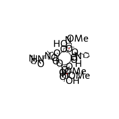 CON=C1C[C@@H](C)O[C@@H](O[C@@H]2[C@@H](C)[C@H](O[C@H]3CC(C)N(CCNC(=O)c4cccnc4)C[C@H](C)O3)[C@@H](C)C(=O)O[C@H]([C@@H](C)CO[C@@H]3O[C@H](C)[C@@H](O)[C@@H](OC)[C@H]3OC)[C@H](C)[C@@H](OC(=O)CC(C)C)[C@@H](C)C(=O)[C@@](C)(OC(=O)NCc3ccccc3)C[C@@H]2C)[C@@H]1O